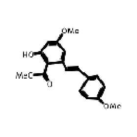 COC(=O)c1c(O)cc(OC)cc1C=Cc1ccc(OC)cc1